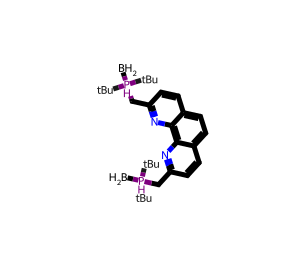 B[PH](Cc1ccc2ccc3ccc(C[PH](B)(C(C)(C)C)C(C)(C)C)nc3c2n1)(C(C)(C)C)C(C)(C)C